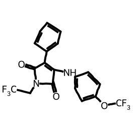 O=C1C(Nc2ccc(OC(F)(F)F)cc2)=C(c2ccccc2)C(=O)N1CC(F)(F)F